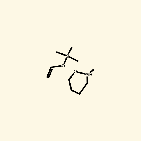 C=CO[Si](C)(C)C.C[SiH]1CCCCO1